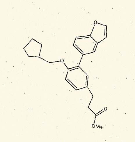 COC(=O)CCc1ccc(OCC2CCCC2)c(-c2ccc3occc3c2)c1